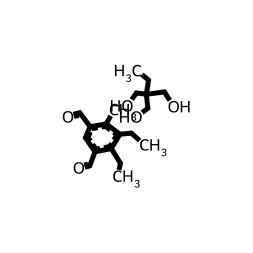 CCC(CO)(CO)CO.CCc1c(C=O)cc(C=O)c(C)c1CC